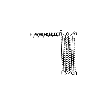 C(OCC1CO1)C1CO1.C=C.C=C.C=C.C=C.C=C.C=C.C=C.C=C.C=C.C=C.C=C.C=C.C=C.C=C.C=C.C=C.C=C.C=C.C=C.C=C.C=C.C=C.C=C.OCCO